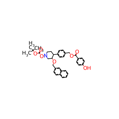 CC(C)(C)OC(=O)ON1CCC(c2ccc(COC(=O)c3ccc(O)cc3)cc2)C(OCc2ccc3ccccc3c2)C1